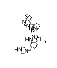 Cc1ccc(CN2CCNCC2)cc1NC(=O)CN1CC2CCC(c3ncnc4sccc34)(C1)N2